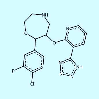 Fc1cc(C2OCCNCC2Oc2ncccc2-c2nnn[nH]2)ccc1Cl